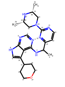 CC(Nc1ncnc2[nH]cc(C3CCOCC3)c12)c1ccnc(N2C[C@@H](C)N[C@@H](C)C2)n1